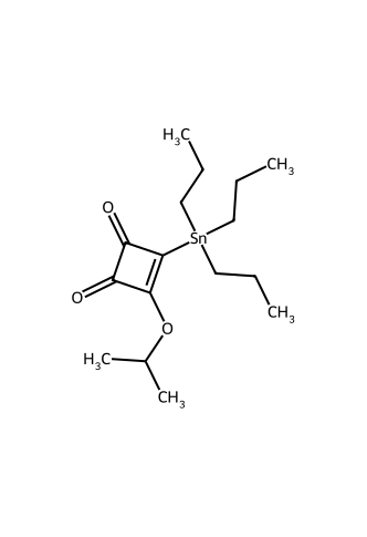 CC[CH2][Sn]([CH2]CC)([CH2]CC)[c]1c(OC(C)C)c(=O)c1=O